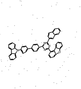 c1ccc2cc(-c3nc(-c4ccc(-c5ccc(-n6c7ccccc7c7ccccc76)cc5)cc4)nc(-c4cccc5oc6ccccc6c45)n3)ccc2c1